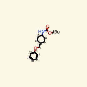 CC(C)(C)OC(=O)NC1CCC(COc2ccccc2)CC1